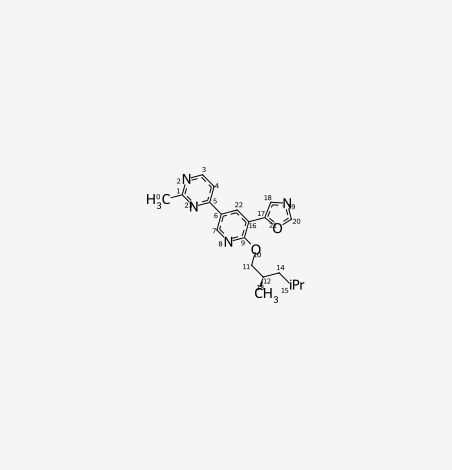 Cc1nccc(-c2cnc(OC[C@H](C)CC(C)C)c(-c3cnco3)c2)n1